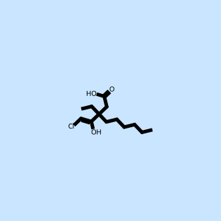 CCCCCCC(CC)(CC(=O)O)C(O)=CCl